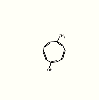 Cc1ccccc(O)cccc1